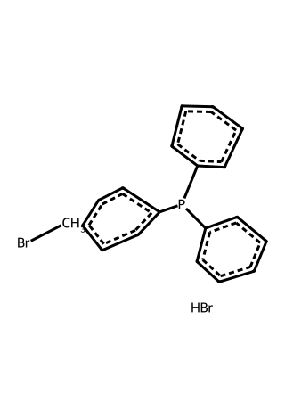 Br.CBr.c1ccc(P(c2ccccc2)c2ccccc2)cc1